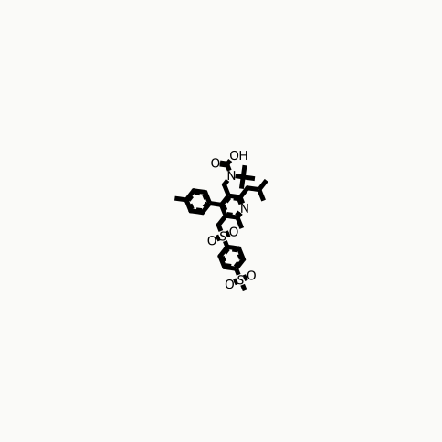 Cc1ccc(-c2c(CS(=O)(=O)c3ccc(S(C)(=O)=O)cc3)c(C)nc(CC(C)C)c2CN(C(=O)O)C(C)(C)C)cc1